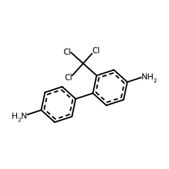 Nc1ccc(-c2ccc(N)cc2C(Cl)(Cl)Cl)cc1